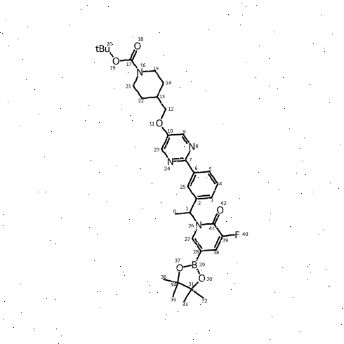 CC(c1cccc(-c2ncc(OCC3CCN(C(=O)OC(C)(C)C)CC3)cn2)c1)n1cc(B2OC(C)(C)C(C)(C)O2)cc(F)c1=O